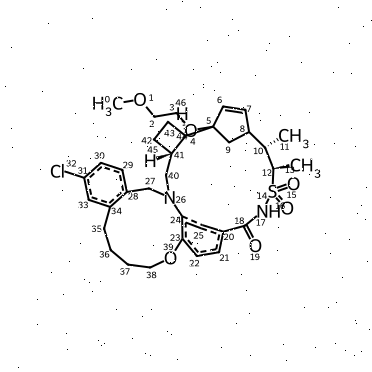 COCCOC12C=CC(C1)[C@H](C)[C@@H](C)S(=O)(=O)NC(=O)c1ccc3c(c1)N(Cc1ccc(Cl)cc1CCCCO3)C[C@@H]1CC[C@H]12